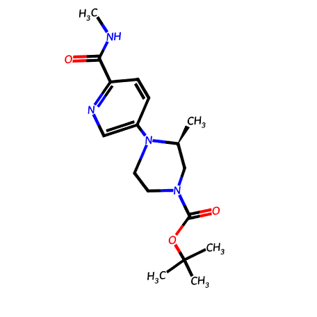 CNC(=O)c1ccc(N2CCN(C(=O)OC(C)(C)C)C[C@@H]2C)cn1